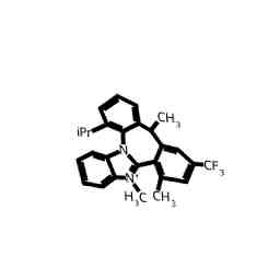 Cc1cc(C(F)(F)F)cc2c1-c1n(c3ccccc3[n+]1C)-c1c(C(C)C)cccc1C2C